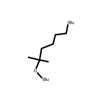 CC(C)(C)CCCCC(C)(C)OC(C)(C)C